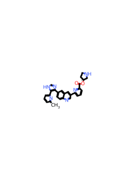 Cc1cccc(-c2[nH]cnc2-c2ccc3ncc(-c4cccc(C(=O)O[C@H]5CCNC5)n4)cc3c2)n1